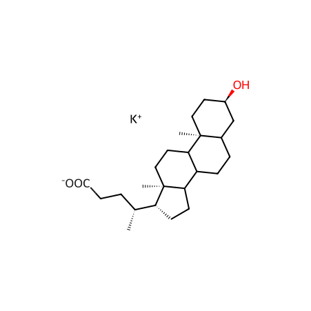 C[C@H](CCC(=O)[O-])[C@H]1CCC2C3CCC4C[C@H](O)CC[C@]4(C)C3CC[C@@]21C.[K+]